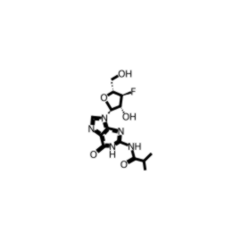 CC(C)C(=O)Nc1nc2c(ncn2[C@@H]2O[C@H](CO)[C@@H](F)[C@@H]2O)c(=O)[nH]1